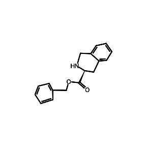 O=C(OCc1ccccc1)[C@@H]1Cc2ccccc2CN1